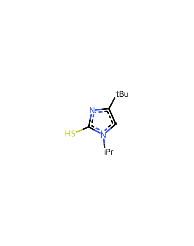 CC(C)n1cc(C(C)(C)C)nc1S